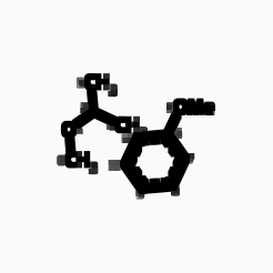 COC(C)C.COc1ccccc1